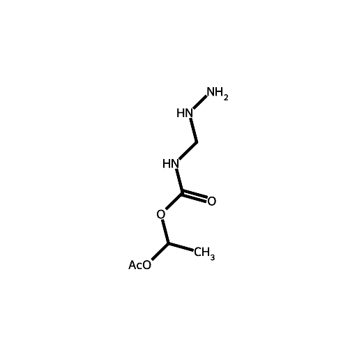 CC(=O)OC(C)OC(=O)NCNN